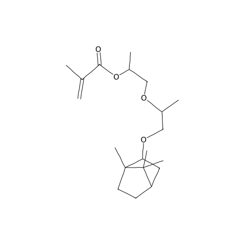 C=C(C)C(=O)OC(C)COC(C)COC1CC2CCC1(C)C2(C)C